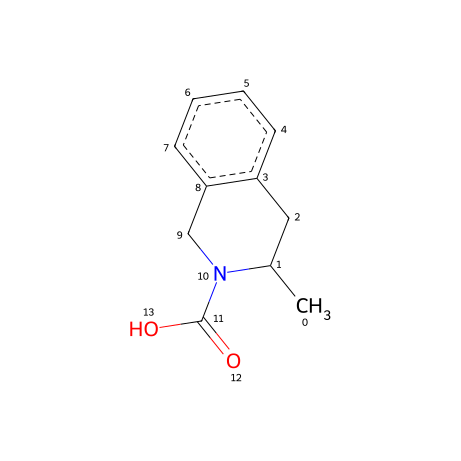 CC1Cc2ccccc2CN1C(=O)O